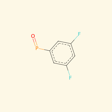 O=Pc1cc(F)cc(F)c1